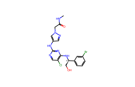 CNC(=O)Cn1cc(Nc2ncc(Cl)c(N[C@H](CO)c3cccc(Br)c3)n2)cn1